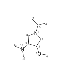 COC1CN(C(C)C)CC1N(C)C